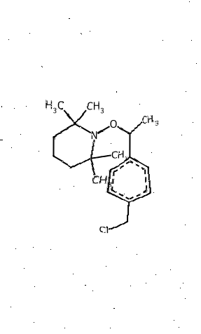 CC(ON1C(C)(C)CCCC1(C)C)c1ccc(CCl)cc1